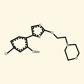 COc1cc(Cl)ccc1-c1csc(OCCN2CCOCC2)n1